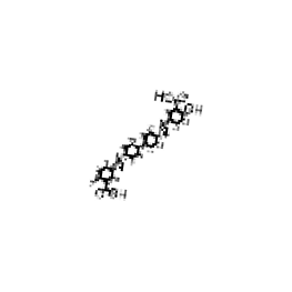 Cc1ccc(/N=N/c2ccc(-c3ccc(/N=N/c4ccc(O)c(C(=O)O)c4)cc3)cc2)cc1C(=O)O